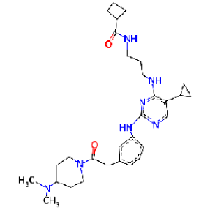 CN(C)C1CCN(C(=O)Cc2cccc(Nc3ncc(C4CC4)c(NCCCNC(=O)C4CCC4)n3)c2)CC1